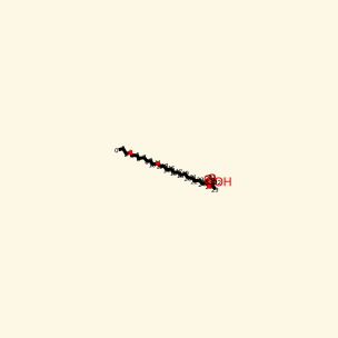 CCCCCCCCCCCCCCCCCCCCCCCCCC(=O)C=C(C)C(=O)O